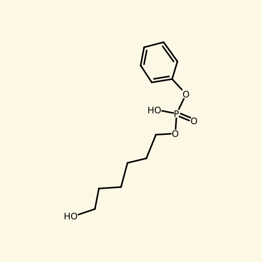 O=P(O)(OCCCCCCO)Oc1ccccc1